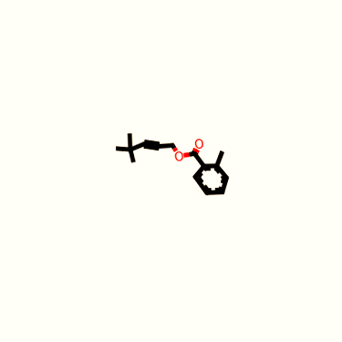 Cc1ccccc1C(=O)OCC#CC(C)(C)C